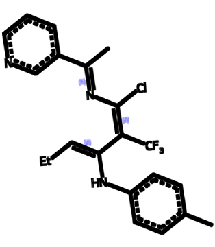 CC/C=C(Nc1ccc(C)cc1)/C(=C(Cl)\N=C(/C)c1cccnc1)C(F)(F)F